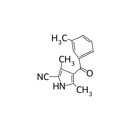 Cc1cccc(C(=O)c2c(C)[nH]c(C#N)c2C)c1